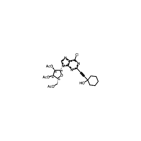 CC(=O)OC[C@H]1O[C@@H](n2cnc3c(Cl)nc(C#CC4(O)CCCCC4)nc32)[C@H](OC(C)=O)[C@@H]1OC(C)=O